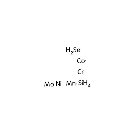 [Co].[Cr].[Mn].[Mo].[Ni].[SeH2].[SiH4]